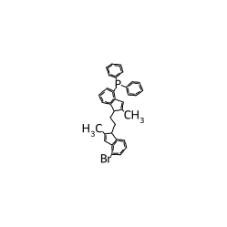 CC1=Cc2c(Br)cccc2C1CCC1C(C)=Cc2c1cccc2P(c1ccccc1)c1ccccc1